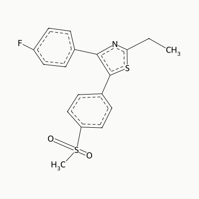 CCc1nc(-c2ccc(F)cc2)c(-c2ccc(S(C)(=O)=O)cc2)s1